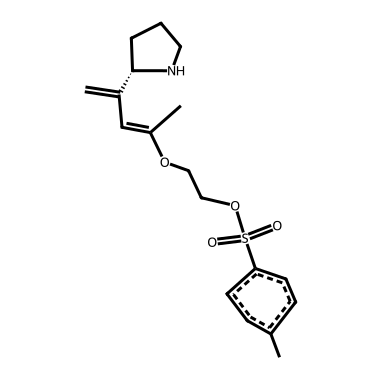 C=C(/C=C(\C)OCCOS(=O)(=O)c1ccc(C)cc1)[C@@H]1CCCN1